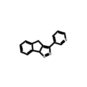 c1cncc(C2=C3Cc4ccccc4C3N=N2)c1